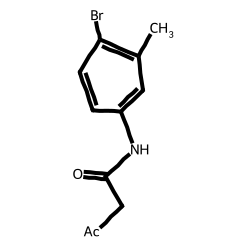 CC(=O)CC(=O)Nc1ccc(Br)c(C)c1